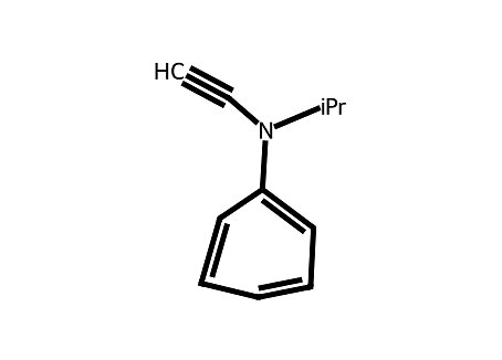 C#CN(c1ccccc1)C(C)C